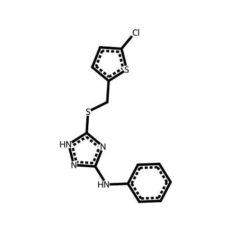 Clc1ccc(CSc2nc(Nc3ccccc3)n[nH]2)s1